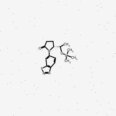 CC(O[Si](C)(C)C)[C@H]1CCC(=O)N1c1ccc2nnsc2c1